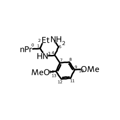 CCCC(CC)NC(CN)c1cc(OC)ccc1OC